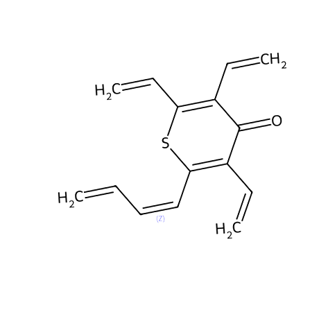 C=C/C=C\c1sc(C=C)c(C=C)c(=O)c1C=C